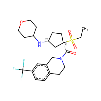 CCS(=O)(=O)[C@]1(C(=O)N2CCc3ccc(C(F)(F)F)cc3C2)CC[C@@H](NC2CCOCC2)C1